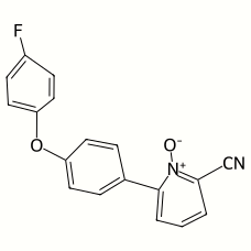 N#Cc1cccc(-c2ccc(Oc3ccc(F)cc3)cc2)[n+]1[O-]